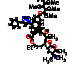 CC[C@H]1CCC[C@H](O[C@H]2CC[C@H](N(C)C)C(C)O2)[C@@H](C)C(=O)C2=C[C@@H]3[C@@H](C=C(n4cc(-c5ccccc5)nn4)[C@@H]4C[C@@H](OC(OC)C(OC)C(OC)C(OC)C(C)C)C[C@@H]34)[C@@H]2CC(=O)O1